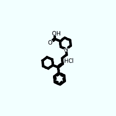 Cl.O=C(O)C1CCCN(CC/C=C(/c2ccccc2)C2CCCCC2)C1